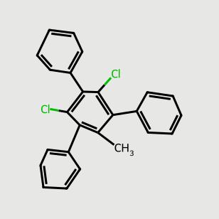 Cc1c(-c2ccccc2)c(Cl)c(-c2ccccc2)c(Cl)c1-c1ccccc1